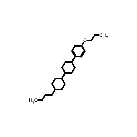 CCCCC1CCC(C2CCC(c3ccc(OCCC)cc3)CC2)CC1